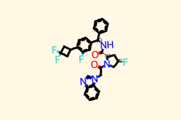 O=C(N[C@@H](c1ccccc1)c1ccc(C2CC(F)(F)C2)c(F)c1)[C@@H]1C[C@@H](F)CN1C(=O)Cn1cnc2ccccc21